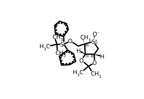 CC1(C)O[C@H]2C[S@@+]([O-])[C@](C)(CO[Si](c3ccccc3)(c3ccccc3)C(C)(C)C)[C@H]2O1